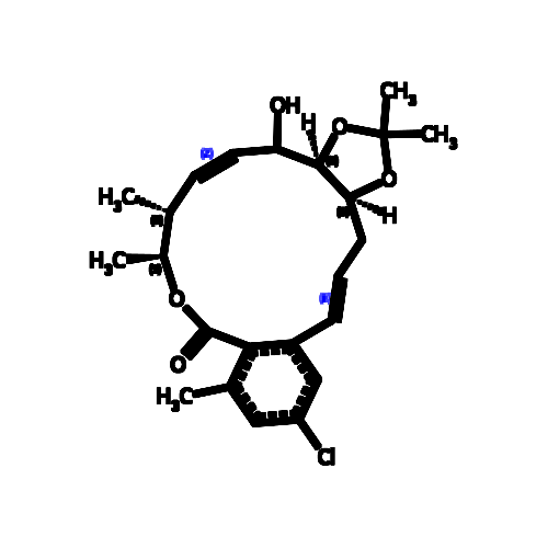 Cc1cc(Cl)cc2c1C(=O)O[C@@H](C)[C@H](C)/C=C\C(O)[C@H]1OC(C)(C)O[C@H]1C/C=C/2